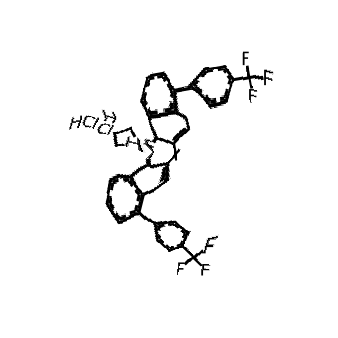 CC1=Cc2c(-c3ccc(C(F)(F)F)cc3)cccc2[CH]1[Hf]1([CH]2C(C)=Cc3c(-c4ccc(C(F)(F)F)cc4)cccc32)[CH2]C[CH2]1.Cl.Cl